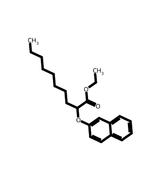 CCCCCCCCC(Oc1ccc2ccccc2c1)C(=O)OCC